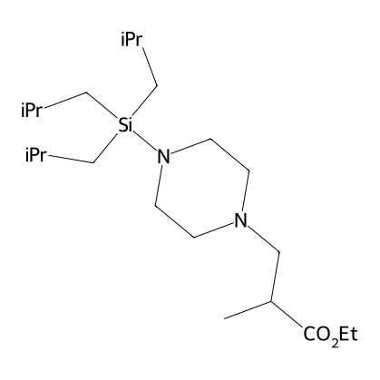 CCOC(=O)C(C)CN1CCN([Si](CC(C)C)(CC(C)C)CC(C)C)CC1